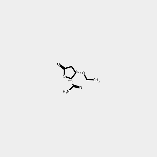 CCO[C@H]1CC(=O)O[C@H]1C(N)=O